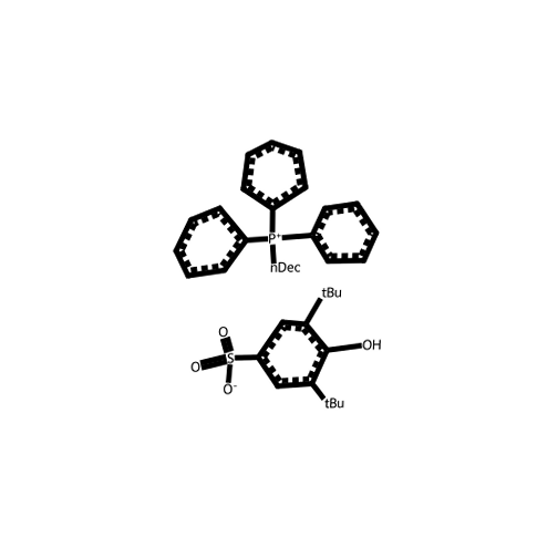 CC(C)(C)c1cc(S(=O)(=O)[O-])cc(C(C)(C)C)c1O.CCCCCCCCCC[P+](c1ccccc1)(c1ccccc1)c1ccccc1